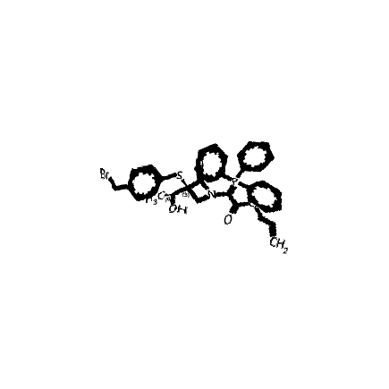 C=CCOC(=O)C(N1C[C@](Sc2ccc(CBr)cc2)([C@@H](C)O)C1=O)=P(c1ccccc1)(c1ccccc1)c1ccccc1